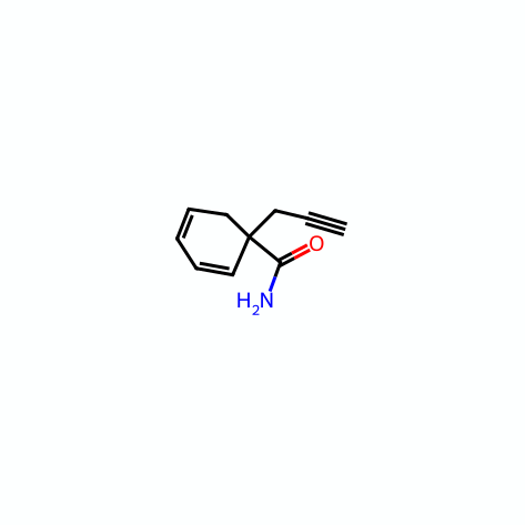 C#CCC1(C(N)=O)C=CC=CC1